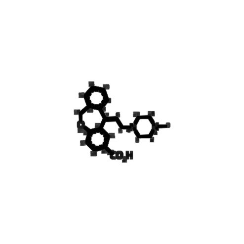 CN1CCN(C/C=C2/c3ccccc3COc3ccc(C(=O)O)cc32)CC1